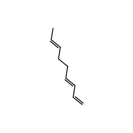 [CH]=CC=CCCC=C[CH2]